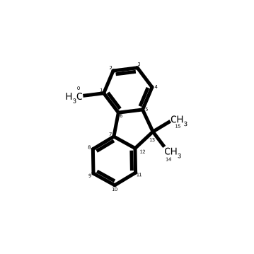 Cc1cccc2c1-c1ccccc1C2(C)C